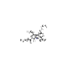 CCCOc1ccc([N+](=O)[O-])c(/N=C(/NCC(=O)OCC)NC(=O)OC)c1